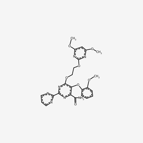 COc1cc(OC)nc(OCCOc2nc(-c3ncccn3)nc(C(N)=O)c2Oc2ccccc2OC)n1